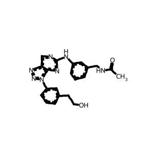 CC(=O)NCc1cccc(Nc2ncc3nnn(-c4cccc(CCO)c4)c3n2)c1